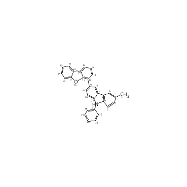 Cc1ccc2c(c1)c1cc(-c3cccc4c3oc3ccccc34)ccc1n2-c1ccccc1